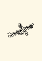 CCCCCCCCCCC1(CCCCCCCCCC)c2cc(-c3ccccc3)ccc2-c2ccc(-c3ccc4c(c3)C(CCCCCCCCCC)(CCCCCCCCCC)c3cc(-c5cc(/C=C/c6ccc7ccccc7n6)c(-c6ccc7c(c6)C(CCCCCCCCCC)(CCCCCCCCCC)c6cc(-c8ccc(-c9ccccc9)c9nsnc89)ccc6-7)cc5/C=C/C5=NC6C=CC=CC6C=C5)ccc3-4)cc21